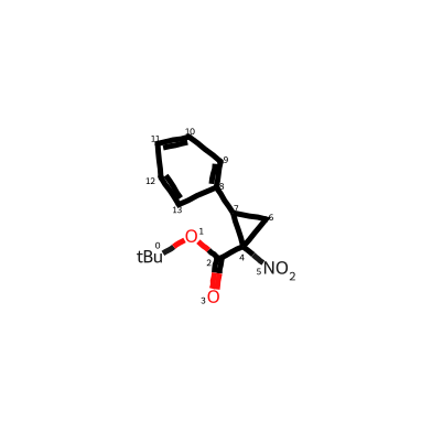 CC(C)(C)OC(=O)C1([N+](=O)[O-])CC1c1ccccc1